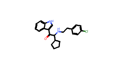 O=C(c1c[nH]c2ccccc12)C(NCCc1ccc(Cl)cc1)C1CCCC1